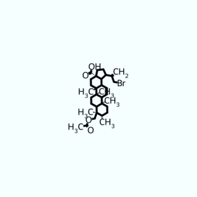 C=C(CBr)C1CC[C@]2(C(=O)O)CC[C@]3(C)C(CCC4[C@@]5(C)CC[C@H](C)[C@@](C)(COC(C)=O)C5CC[C@]43C)C12